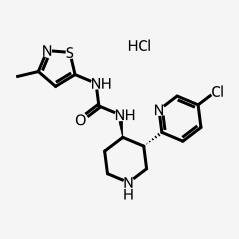 Cc1cc(NC(=O)N[C@@H]2CCNC[C@H]2c2ccc(Cl)cn2)sn1.Cl